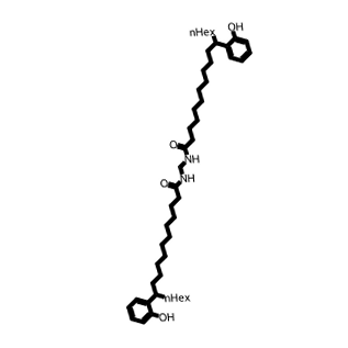 CCCCCCC(CCCCCCCCCCC(=O)NCNC(=O)CCCCCCCCCCC(CCCCCC)c1ccccc1O)c1ccccc1O